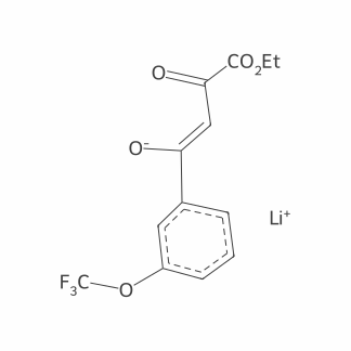 CCOC(=O)C(=O)C=C([O-])c1cccc(OC(F)(F)F)c1.[Li+]